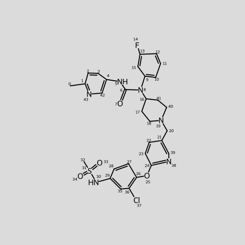 Cc1ccc(NC(=O)N(c2cccc(F)c2)C2CCN(Cc3ccc(Oc4ccc(NS(C)(=O)=O)cc4Cl)nc3)CC2)cn1